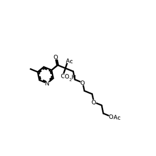 CC(=O)OCCOCCOCCC(C(C)=O)(C(=O)O)C(=O)c1cncc(C)c1